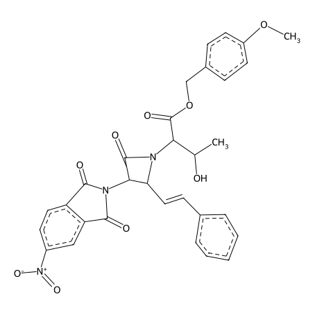 COc1ccc(COC(=O)C(C(C)O)N2C(=O)C(N3C(=O)c4ccc([N+](=O)[O-])cc4C3=O)C2/C=C/c2ccccc2)cc1